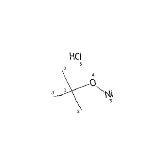 CC(C)(C)[O][Ni].Cl